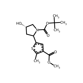 COC(=O)c1cc(C2C[C@H](O)CN2C(=O)OC(C)(C)C)sc1C